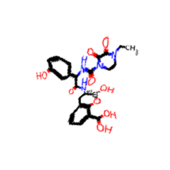 CCN1CCN(C(=O)NC(C(=O)N[C@H]2Cc3cccc(C(O)O)c3OB2O)c2cccc(O)c2)C(=O)C1=O